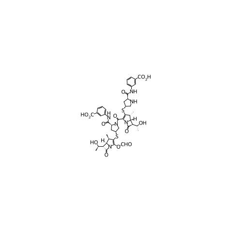 C[C@@H](O)[C@H]1C(=O)N2C(OC=O)=C(S[C@H]3C[C@@H](C(=O)Nc4cccc(C(=O)O)c4)N(C(=O)C4=C(S[C@@H]5CN[C@H](C(=O)Nc6cccc(C(=O)O)c6)C5)[C@H](C)[C@@H]5[C@@H]([C@@H](C)O)C(=O)N45)C3)[C@H](C)[C@H]12